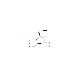 CN1CC(=O)CC2=CN(C(N)=O)C3NC=CC=C3C21